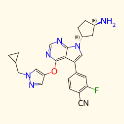 N#Cc1ccc(-c2cn([C@@H]3CC[C@@H](N)C3)c3ncnc(Oc4cnn(CC5CC5)c4)c23)cc1F